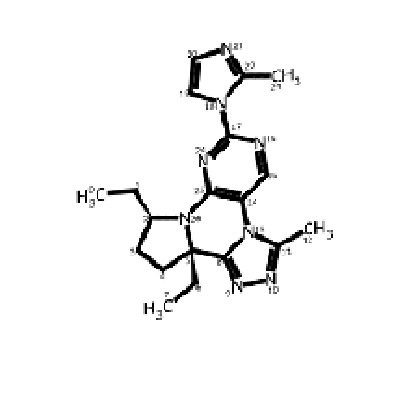 CC[C@@H]1CC[C@@]2(CC)c3nnc(C)n3-c3cnc(-n4ccnc4C)nc3N12